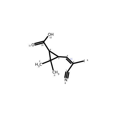 CC1(C)C(/C=C(/I)C#N)C1C(=O)O